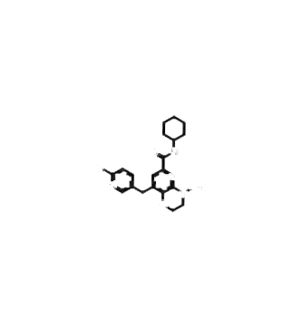 CN1CCOc2c(Cc3ccc(Cl)nc3)cc(C(=O)NC3CCCCC3)nc21